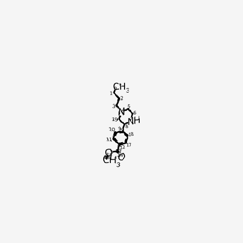 CCCCN1CCNC(c2ccc(C(=O)OC)cc2)C1